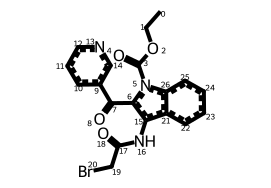 CCOC(=O)n1c(C(=O)c2cccnc2)c(NC(=O)CBr)c2ccccc21